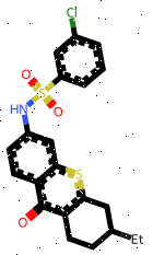 CCC1CCc2c(sc3cc(NS(=O)(=O)c4cccc(Cl)c4)ccc3c2=O)C1